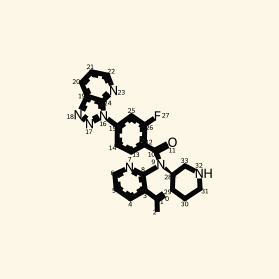 C=C(C)c1cccnc1N(C(=O)c1ccc(-n2nnc3cccnc32)cc1F)[C@@H]1CCCNC1